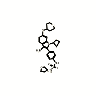 Nc1c(-c2ccc(NS(=O)(=O)N[C@@H]3CCOC3)cc2)n(C2CCC2)c2cc(OC3CCOCC3)ccc12